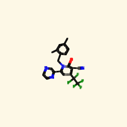 Cc1ccc(Cn2c(-c3cnccn3)cc(C(F)(F)C(F)(F)F)c(C#N)c2=O)c(C)c1